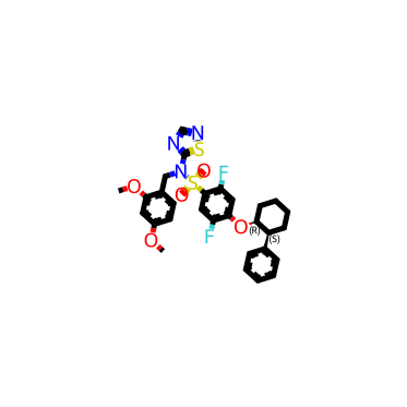 COc1ccc(CN(c2ncns2)S(=O)(=O)c2cc(F)c(O[C@@H]3CCCC[C@H]3c3ccccc3)cc2F)c(OC)c1